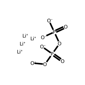 O=P([O-])([O-])OP(=O)([O-])O[O-].[Li+].[Li+].[Li+].[Li+]